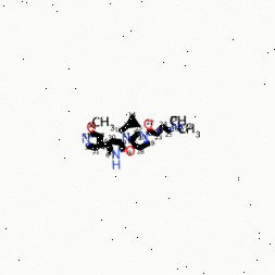 COc1cc(-c2c[nH]c(=O)c(N(CC3CC3)[C@H]3CCCN(C(=O)/C=C/CN(C)C)C3)c2)ccn1